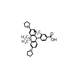 Cc1cc(C(=O)O)ccc1C1c2ccc(N3CCCC3)cc2[Si](C)(C)c2cc(N3CCCC3)ccc21